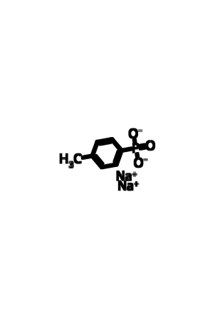 Cc1ccc(P(=O)([O-])[O-])cc1.[Na+].[Na+]